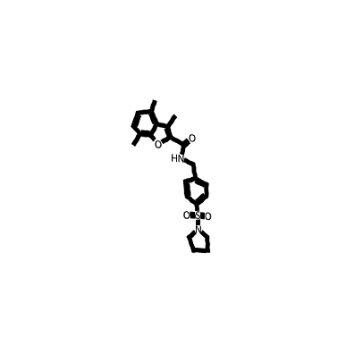 Cc1ccc(C)c2c(C)c(C(=O)NCc3ccc(S(=O)(=O)N4CCCC4)cc3)oc12